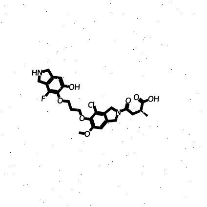 COc1cc2c(c(Cl)c1OCCCOc1c(O)cc3c(c1F)CNC3)CN(C(=O)C[C@H](C)C(=O)O)C2